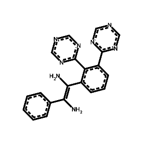 NC(=C(N)c1cccc(-c2ncncn2)c1-c1ncncn1)c1ccccc1